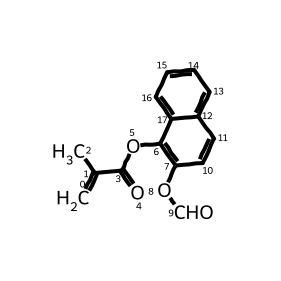 C=C(C)C(=O)Oc1c(OC=O)ccc2ccccc12